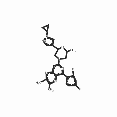 Cc1nc2cc(N3CC(C)OC(c4cnn(C5CC5)c4)C3)nc(-c3ccc(F)cc3F)c2nc1C